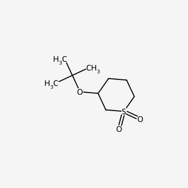 CC(C)(C)OC1CCCS(=O)(=O)C1